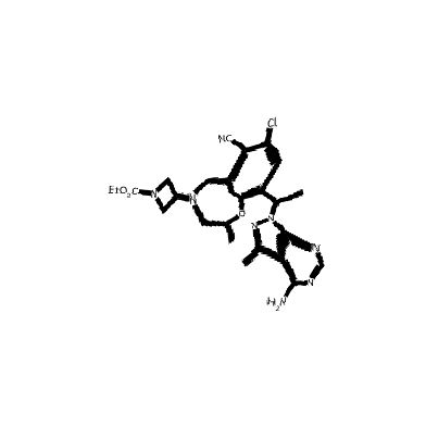 CCOC(=O)N1CC(N2Cc3c(C#N)c(Cl)cc(C(C)n4nc(C)c5c(N)ncnc54)c3OC(C)C2)C1